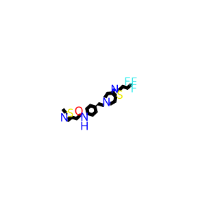 Cc1ncc(CC(=O)N[C@H]2CC[C@H](CCN3CCc4nc(CCC(F)(F)F)sc4CC3)CC2)s1